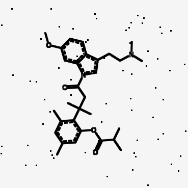 COc1ccc2c(CCN(C)C)cn(C(=O)CC(C)(C)c3c(C)cc(C)cc3OC(=O)C(C)C)c2c1